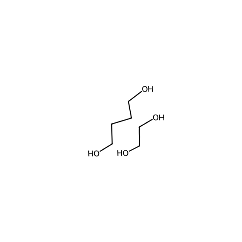 OCCCCO.OCCO